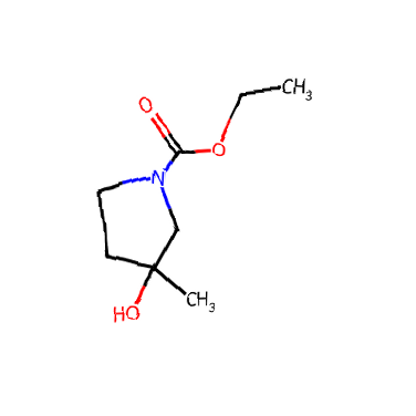 CCOC(=O)N1CCC(C)(O)C1